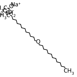 C=C.CC(=O)[O-].CCCCCCCCCCCCCOCCCCCCCCCCCCC.[Na+]